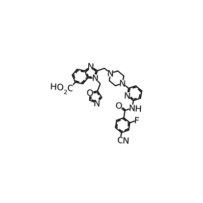 N#Cc1ccc(C(=O)Nc2cccc(N3CCN(Cc4nc5ccc(C(=O)O)cc5n4Cc4cnco4)CC3)n2)c(F)c1